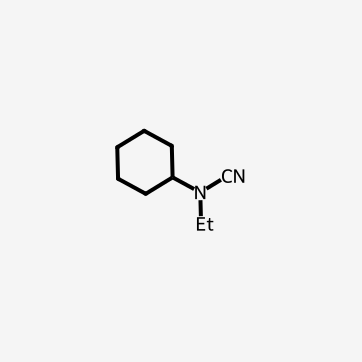 CCN(C#N)C1CCCCC1